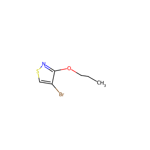 CCCOc1nscc1Br